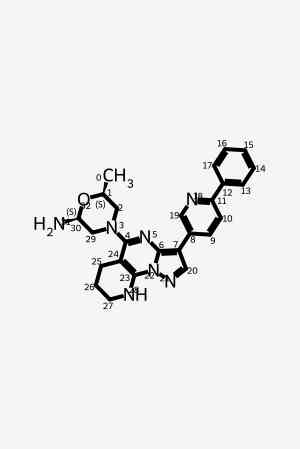 C[C@H]1CN(c2nc3c(-c4ccc(-c5ccccc5)nc4)cnn3c3c2CCCN3)C[C@@H](N)O1